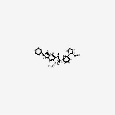 COc1cc2nn(C3CCCCC3)cc2cc1NC(=O)c1cccc(N2CCC[C@H]2CO)n1